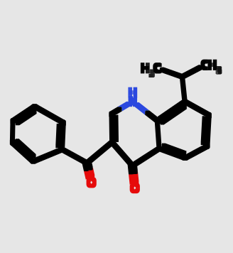 CC(C)c1cccc2c(=O)c(C(=O)c3ccccc3)c[nH]c12